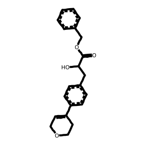 O=C(OCc1ccccc1)C(O)Cc1ccc(C2=CCOCC2)cc1